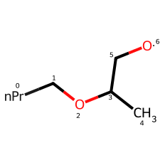 CCCCOC(C)C[O]